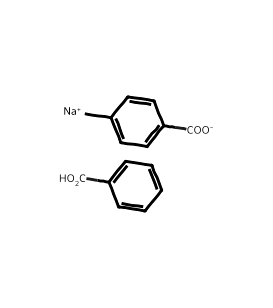 Cc1ccc(C(=O)[O-])cc1.O=C(O)c1ccccc1.[Na+]